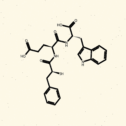 O=C(O)CC[C@H](NC(=O)[C@@H](S)Cc1ccccc1)C(=O)N[C@@H](Cc1c[nH]c2ccccc12)C(=O)O